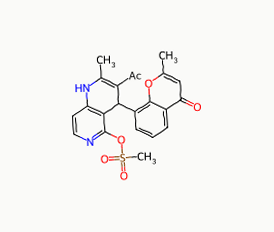 CC(=O)C1=C(C)Nc2ccnc(OS(C)(=O)=O)c2C1c1cccc2c(=O)cc(C)oc12